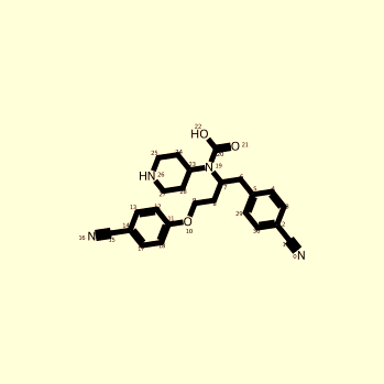 N#Cc1ccc(CC(CCOc2ccc(C#N)cc2)N(C(=O)O)C2CCNCC2)cc1